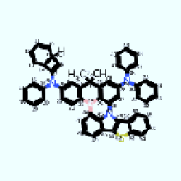 CC1(C)c2cc(N(C3=C[C@H]4C=CC=CC34)c3ccccc3)ccc2B2c3c(cc(N(c4ccccc4)c4ccccc4)cc31)-n1c3c2cccc3c2sc3ccccc3c21